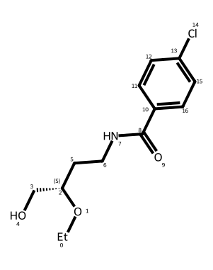 CCO[C@H](CO)CCNC(=O)c1ccc(Cl)cc1